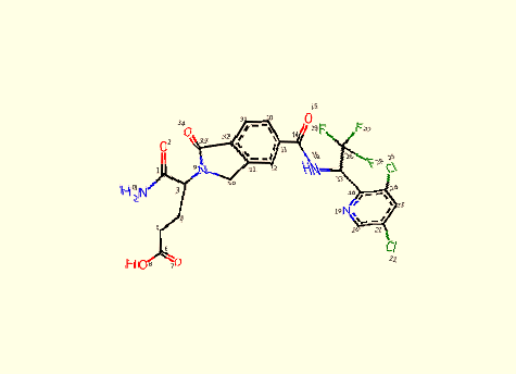 NC(=O)C(CCC(=O)O)N1Cc2cc(C(=O)NC(c3ncc(Cl)cc3Cl)C(F)(F)F)ccc2C1=O